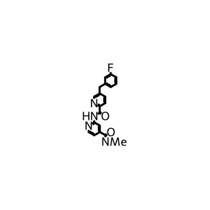 CNC(=O)c1ccnc(NC(=O)c2ccc(Cc3cccc(F)c3)cn2)c1